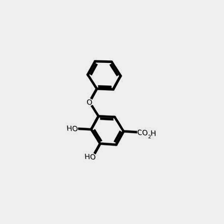 O=C(O)c1cc(O)c(O)c(Oc2ccccc2)c1